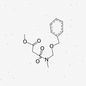 COC(=O)CS(=O)(=O)N(C)COCc1ccccc1